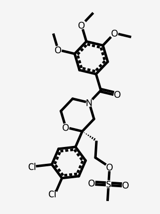 COc1cc(C(=O)N2CCO[C@](CCOS(C)(=O)=O)(c3ccc(Cl)c(Cl)c3)C2)cc(OC)c1OC